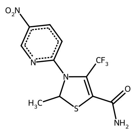 CC1SC(C(N)=O)=C(C(F)(F)F)N1c1ccc([N+](=O)[O-])cn1